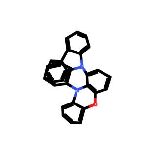 c1ccc(N2c3ccccc3Oc3cccc(-n4c5ccccc5c5ccccc54)c32)cc1